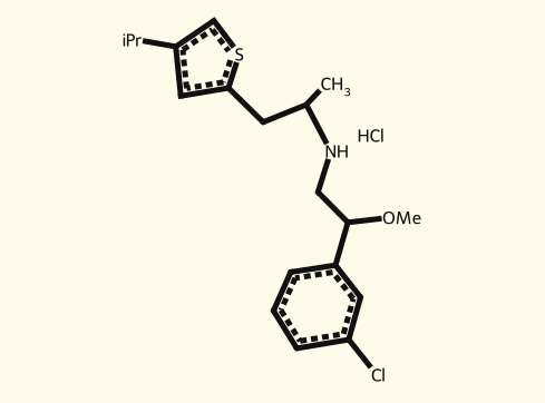 COC(CNC(C)Cc1cc(C(C)C)cs1)c1cccc(Cl)c1.Cl